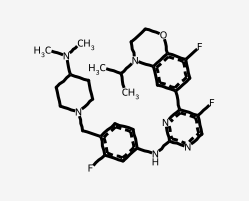 CC(C)N1CCOc2c(F)cc(-c3nc(Nc4ccc(CN5CCC(N(C)C)CC5)c(F)c4)ncc3F)cc21